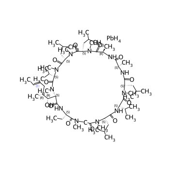 C/C=C/C[C@@H](C)[C@@H](O)[C@H]1C(=O)N[C@@H](CC)C(=O)N(C)CC(=O)N(C)[C@@H](CC(C)C)C(=O)N[C@@H](C(C)C)C(=O)N(C)[C@@H](CC(C)C)C(=O)N[C@@H](C)C(=O)N[C@H](C)C(=O)N(C)[C@@H](CC(C)C)C(=O)N(C)[C@@H](CC(C)C)C(=O)N(C)[C@@H](C(C)C)C(=O)N1C.[PbH4]